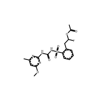 COc1cc(C)nc(NC(=O)NS(=O)(=O)c2ccccc2CC(F)OC(C)=O)n1